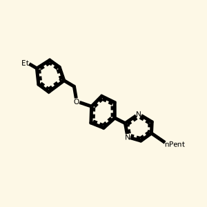 CCCCCc1cnc(-c2ccc(OCc3ccc(CC)cc3)cc2)nc1